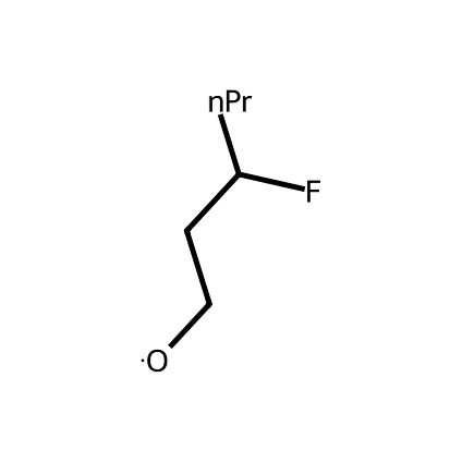 CCCC(F)CC[O]